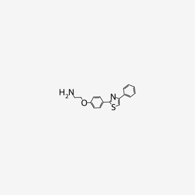 NCCOc1ccc(-c2nc(-c3ccccc3)cs2)cc1